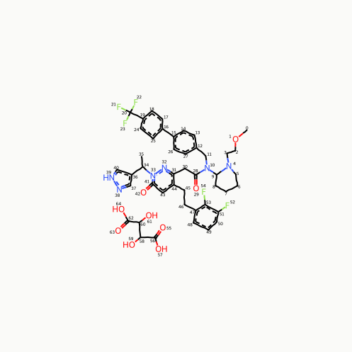 COCCN1CCCCC1N(Cc1ccc(-c2ccc(C(F)(F)F)cc2)cc1)C(=O)Cc1nn(C(C)c2cn[nH]c2)c(=O)cc1CCc1cccc(F)c1F.O=C(O)C(O)C(O)C(=O)O